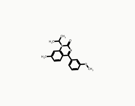 COc1cccc(-c2nc(=O)n(C(C)C)c3cc(C)ccc23)c1